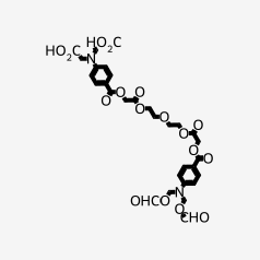 O=COCN(COC=O)c1ccc(C(=O)OCC(=O)OCCOCCOC(=O)COC(=O)c2ccc(N(CC(=O)O)CC(=O)O)cc2)cc1